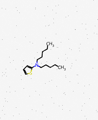 CCCCCN(CCCCC)c1cccs1